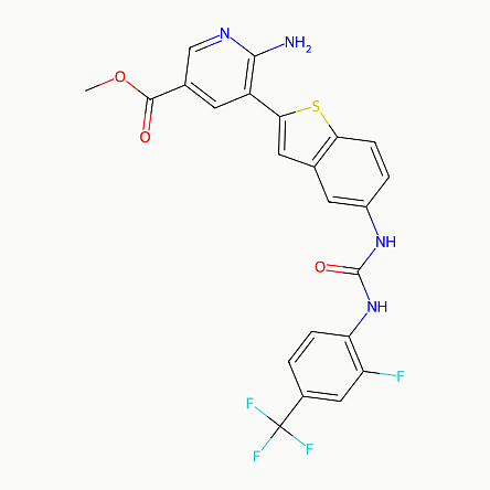 COC(=O)c1cnc(N)c(-c2cc3cc(NC(=O)Nc4ccc(C(F)(F)F)cc4F)ccc3s2)c1